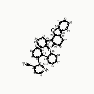 N#Cc1ccncc1-c1ccccc1-c1ccccc1-n1c2ccccc2c2c3oc4ccccc4c3ccc21